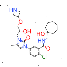 Cc1cn(-c2ccc(Cl)c(C(=O)NCC3(O)CCCCCC3)c2)c(=O)n1CC(O)COC1CNC1